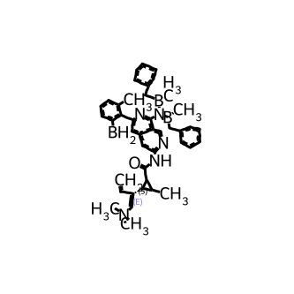 Bc1cccc(C)c1-c1cc2cc(NC(=O)C3C(C)[C@@H]3/C(C=C)=C/N(C)C)ncc2c(N(B(C)Cc2ccccc2)B(C)Cc2ccccc2)n1